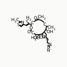 C/C(=C\c1csc(C)n1)C1CC2O[C@]2(C)CCCC(C)C(O)C(CCCCN=[N+]=[N-])C(=O)C(C)(C)[C@@H](O)CC(=O)O1